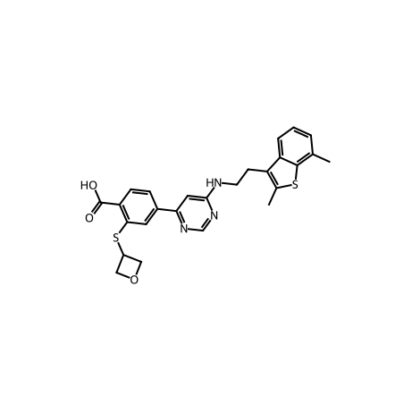 Cc1sc2c(C)cccc2c1CCNc1cc(-c2ccc(C(=O)O)c(SC3COC3)c2)ncn1